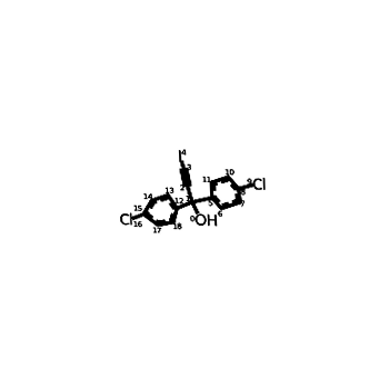 OC(C#CI)(c1ccc(Cl)cc1)c1ccc(Cl)cc1